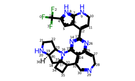 FC(F)(F)c1cc2c([nH]1)NCC=C2c1nc(N2CC[C@H]3NCCC32)c2c(n1)=CCN=CC=2C1CCC1